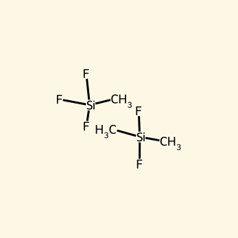 C[Si](C)(F)F.C[Si](F)(F)F